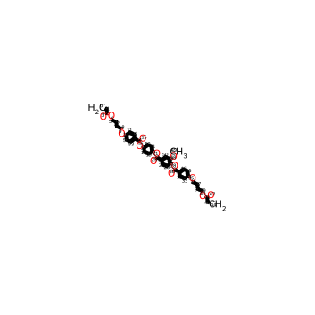 C=CC(=O)OCCCCOc1ccc(C(=O)Oc2ccc(OC(=O)c3ccc(OC(=O)c4ccc(OCCCCOC(=O)C=C)cc4)c(OC)c3)cc2)cc1